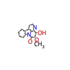 COc1c(O)c2nccc3c4ccccc4n(c1=O)c23